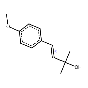 COc1ccc(/C=C/C(C)(C)O)cc1